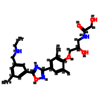 CCCc1cc(CNCC(C)C)cc(-c2nc(-c3cc(C)c(OC[C@@H](O)CNC(=O)CO)c(CC)c3)no2)c1